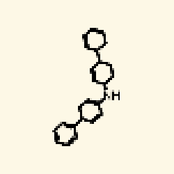 C1=CCC(C2C=CC(NC3=CCC(c4ccccc4)C=C3)CC2)C=C1